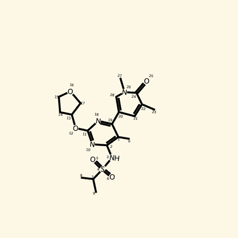 Cc1c(NS(=O)(=O)C(C)C)nc(OC2CCOC2)nc1-c1cc(C)c(=O)n(C)c1